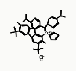 Cc1cc2c(cc1C(C)(C)C)-c1cc(C(C)(C)C)c(C)[c]([Zr+2]([C]3=CC=CC3)=[C](c3ccc(C(C)C)cc3)c3ccc(C(C)C)cc3)c1C2.[Cl-].[Cl-]